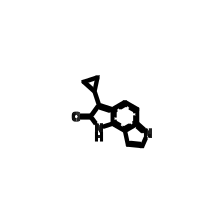 O=C1Nc2c3c(ccc2=C1C1CC1)=NC=C3